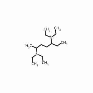 CCC(CCC(C)N(CC)CC)N(CC)CC